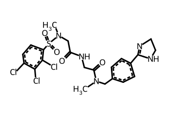 CN(Cc1ccc(C2=NCCN2)cc1)C(=O)CNC(=O)CN(C)S(=O)(=O)c1ccc(Cl)c(Cl)c1Cl